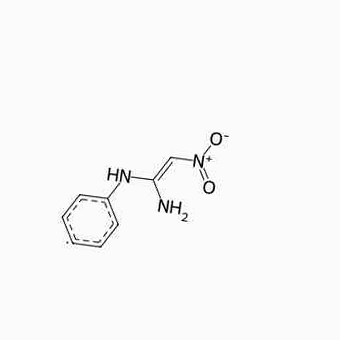 NC(=C[N+](=O)[O-])Nc1cc[c]cc1